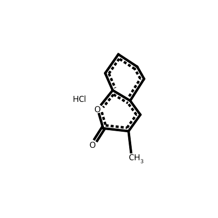 Cc1cc2ccccc2oc1=O.Cl